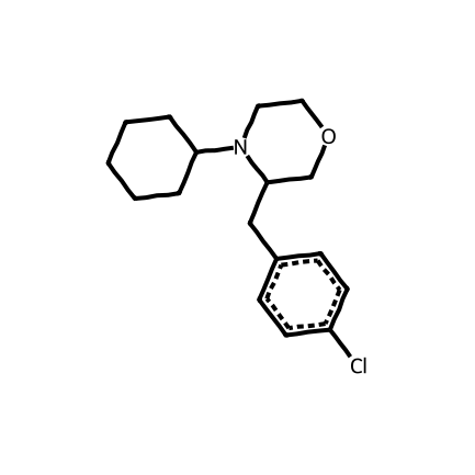 Clc1ccc(CC2COCCN2C2CCCCC2)cc1